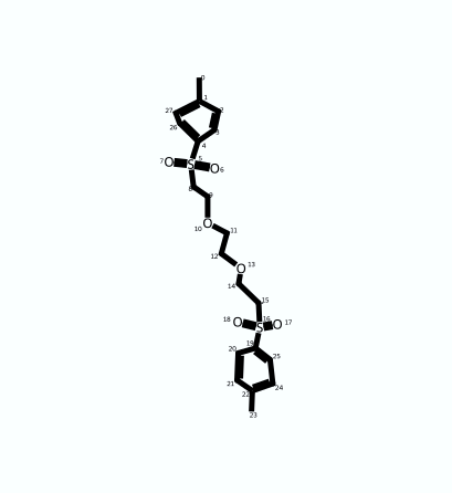 Cc1ccc(S(=O)(=O)[CH]COCCOC[CH]S(=O)(=O)c2ccc(C)cc2)cc1